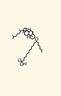 CCCCCCC(CCCCCCCCCCC(=O)O)O[C@H]1CC[C@@]2(C)C(=CC[C@H]3[C@@H]4CC[C@H]([C@H](C)CCCC(C)C)[C@@]4(C)CC[C@@H]32)C1